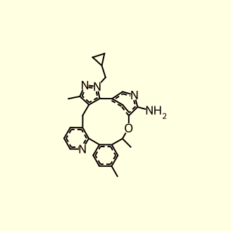 Cc1ccc2c(c1)C(C)Oc1cc(cnc1N)-c1c(c(C)nn1CC1CC1)Cc1cccnc1-2